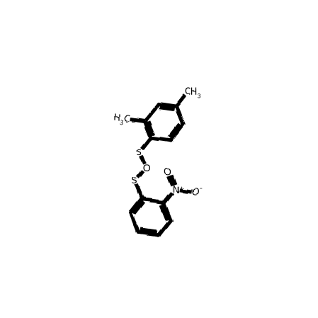 Cc1ccc(SOSc2ccccc2[N+](=O)[O-])c(C)c1